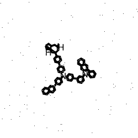 C[C@H]1CC2CC3=C[C@@H]2CC3(c2ccc(-c3ccc(N(c4ccc(-c5cccc(-n6c7ccccc7c7cc8ccccc8cc76)c5)cc4)c4ccc(-c5ccc6ccccc6c5)cc4)cc3)cc2)C1